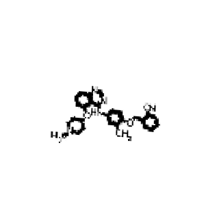 Cc1cc(Nc2ncnc3cccc(OC4CCN(C)CC4)c23)ccc1OCc1ccccc1C#N